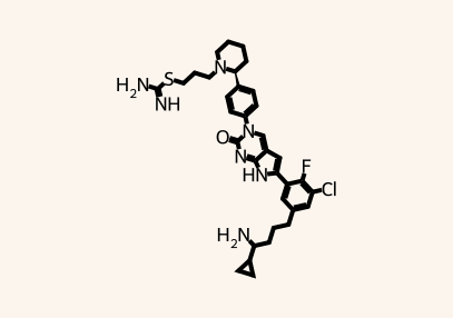 N=C(N)SCCCN1CCCC[C@H]1c1ccc(-n2cc3cc(-c4cc(CCCC(N)C5CC5)cc(Cl)c4F)[nH]c3nc2=O)cc1